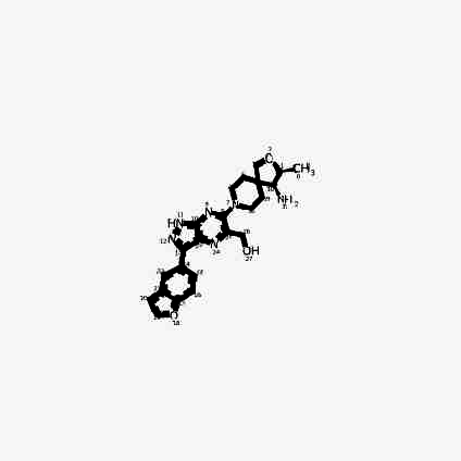 C[C@@H]1OCC2(CCN(c3nc4[nH]nc(-c5ccc6occc6c5)c4nc3CO)CC2)[C@@H]1N